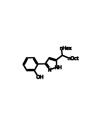 CCCCCCCCC(CCCCCC)c1cc(-c2ccccc2O)n[nH]1